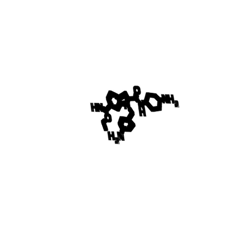 CCOC(=N)c1ccc2cc(C(=O)NC3CCC(N)CC3)n(Cc3ccc(N)cc3)c2c1